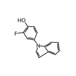 Oc1ccc(-n2ccc3c[c]ccc32)cc1F